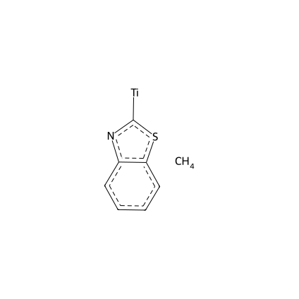 C.[Ti][c]1nc2ccccc2s1